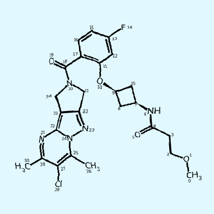 COCCC(=O)N[C@H]1C[C@@H](Oc2cc(F)ccc2C(=O)N2Cc3nn4c(C)c(Cl)c(C)nc4c3C2)C1